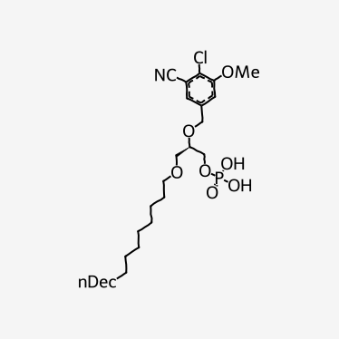 CCCCCCCCCCCCCCCCCCOC[C@H](COP(=O)(O)O)OCc1cc(C#N)c(Cl)c(OC)c1